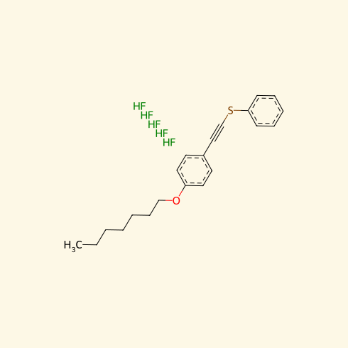 CCCCCCCOc1ccc(C#CSc2ccccc2)cc1.F.F.F.F.F